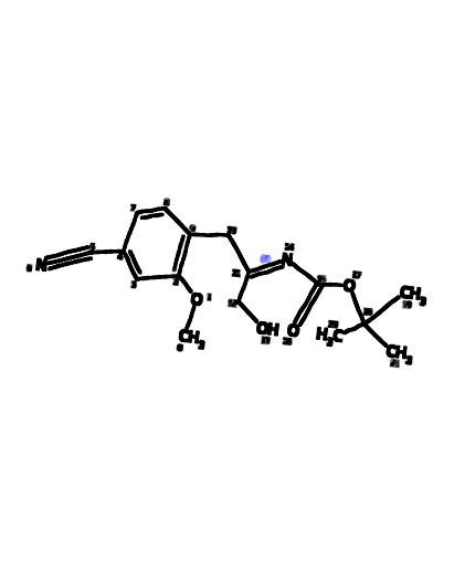 COc1cc(C#N)ccc1C/C(CO)=N/C(=O)OC(C)(C)C